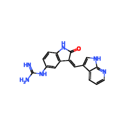 N=C(N)Nc1ccc2c(c1)C(=Cc1c[nH]c3ncccc13)C(=O)N2